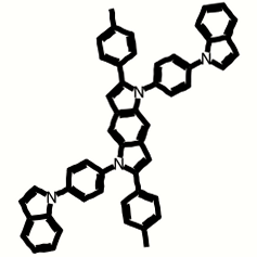 Cc1ccc(-c2cc3cc4c(cc(-c5ccc(C)cc5)n4-c4ccc(-n5ccc6ccccc65)cc4)cc3n2-c2ccc(-n3ccc4ccccc43)cc2)cc1